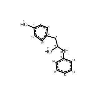 Oc1ccc(CC(O)Nc2ccccc2)cc1